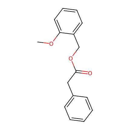 COc1ccccc1COC(=O)Cc1ccccc1